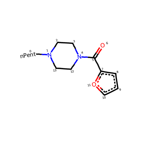 CCCCCN1CCN(C(=O)c2ccco2)CC1